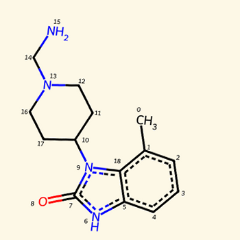 Cc1cccc2[nH]c(=O)n(C3CCN(CN)CC3)c12